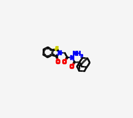 NN(C(=O)Cn1sc2ccccc2c1=O)C(=O)C12CC3CC(CC(C3)C1)C2